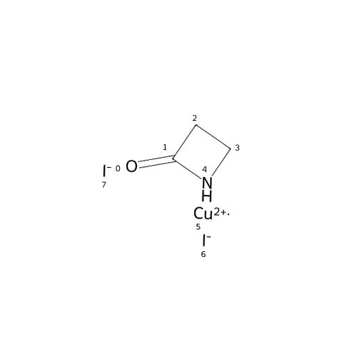 O=C1CCN1.[Cu+2].[I-].[I-]